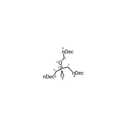 CCCCCCCCCCCOP(=O)(CCCCCCCCCCC)CCCCCCCCCCC